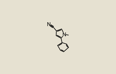 Cn1cc(C#N)cc1-c1ccccc1